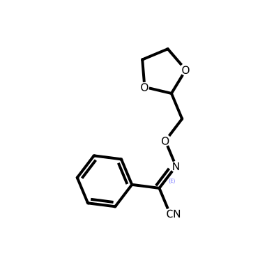 N#C/C(=N/OCC1OCCO1)c1ccccc1